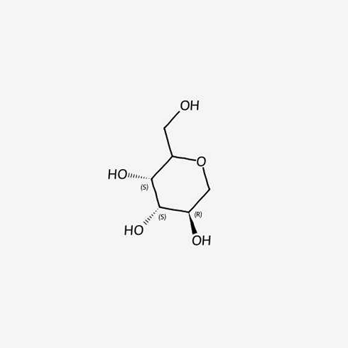 OCC1OC[C@@H](O)[C@H](O)[C@@H]1O